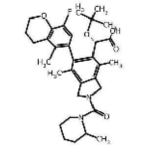 Cc1c(-c2c(C)c3c(c(C)c2[C@H](OC(C)(C)C)C(=O)O)CN(C(=O)N2CCCCC2C)C3)cc(F)c2c1CCCO2